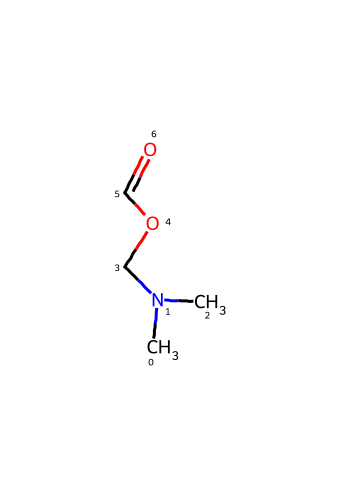 CN(C)COC=O